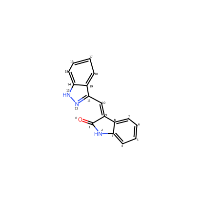 O=C1Nc2ccccc2C1=Cc1n[nH]c2ccccc12